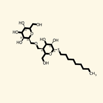 CCCCCCCCCS[C@@H]1OC(CO)[C@@H](COC[C@@H]2OC(CO)[C@@H](O)C(O)[C@@H]2O)C(O)[C@@H]1O